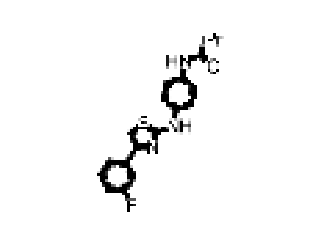 CC(C)C(=O)Nc1ccc(Nc2nc(-c3cccc(F)c3)cs2)cc1